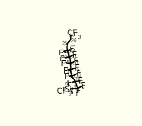 C[Si](C)(Cl)C(F)(F)C(F)(F)C(F)(F)C(F)(F)C(F)(F)C(F)(F)C(F)(F)CCC(F)(F)F